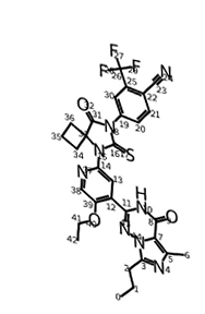 CCCc1nc(C)c2c(=O)[nH]c(-c3cc(N4C(=S)N(c5ccc(C#N)c(C(F)(F)F)c5)C(=O)C45CCC5)ncc3OCC)nn12